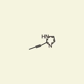 CC#Cc1ncc[nH]1